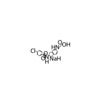 O=C(O)CNc1ccc2c(c1)CC(NS(=O)(=O)c1ccc(Cl)cc1)C2.[NaH]